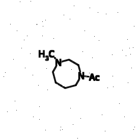 CC(=O)N1CCCCN(C)CC1